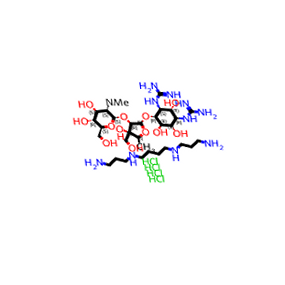 CN[C@@H]1[C@H](O[C@H]2[C@H](O[C@H]3[C@H](O)[C@@H](O)[C@H](NC(=N)N)[C@@H](O)[C@@H]3NC(=N)N)O[C@@H](C)[C@]2(O)CO)O[C@@H](CO)[C@H](O)[C@H]1O.Cl.Cl.Cl.Cl.NCCCNCCCCNCCCN